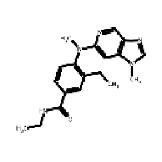 CCNC(=O)c1ccc(N(C)c2cc3c(cn2)ncn3C)c(CC)c1